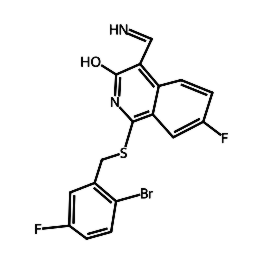 N=Cc1c(O)nc(SCc2cc(F)ccc2Br)c2cc(F)ccc12